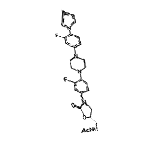 CC(=O)NC[C@H]1CN(c2ccc(N3CCN(c4ccc(-n5cccc5)c(F)c4)CC3)c(F)c2)C(=O)O1